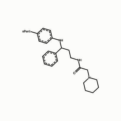 CCCCCc1ccc(NC(CCNC(=O)CN2CCCCC2)c2ccccc2)cc1